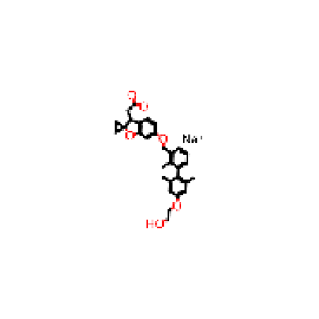 Cc1cc(OCCO)cc(C)c1-c1cccc(COc2ccc3c(c2)OC2(CC2)C3CC(=O)[O-])c1C.[Na+]